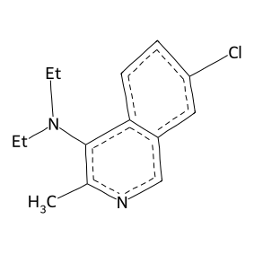 CCN(CC)c1c(C)ncc2cc(Cl)ccc12